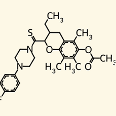 CCC1Cc2c(C)c(OC(C)=O)c(C)c(C)c2OC1C(=S)N1CCN(c2ccc(F)cc2)CC1